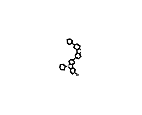 Brc1ccc2c(c1)c1cc(-c3ccc4sc5ccc(-c6ccccc6)cc5c4c3)ccc1n2-c1ccccc1